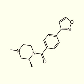 C[C@H]1CN(C)CCN1C(=O)c1ccc(-c2ccon2)cc1